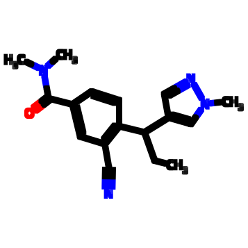 CCC(c1cnn(C)c1)c1ccc(C(=O)N(C)C)cc1C#N